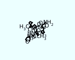 CC(C)(C)[C@@H](NC(=O)OC1CCOCC1)C(=O)N1C[C@@]2(C[C@H]1C(=O)NC(CC1CCC1)C(=O)C(N)=O)C(C)(C)C21CCC1